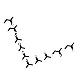 CC(C)=O.CC(C)=O.CC(C)=O.CC(C)=O.CC(C)=O.CC(C)=O.CCC(C)=O.CCC(C)=O.CCC(C)=O.CCC(C)=O